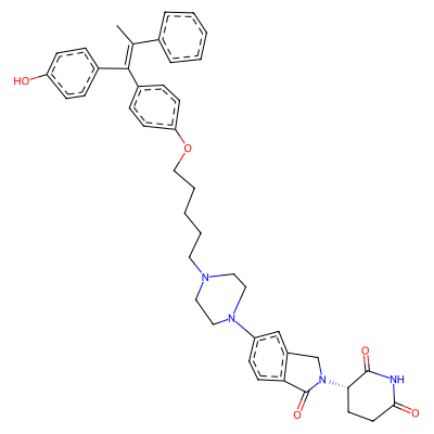 C/C(=C(\c1ccc(O)cc1)c1ccc(OCCCCCN2CCN(c3ccc4c(c3)CN([C@H]3CCC(=O)NC3=O)C4=O)CC2)cc1)c1ccccc1